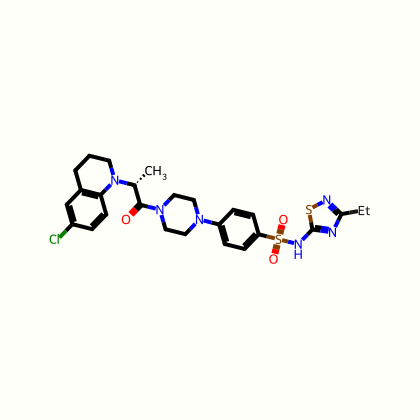 CCc1nsc(NS(=O)(=O)c2ccc(N3CCN(C(=O)[C@@H](C)N4CCCc5cc(Cl)ccc54)CC3)cc2)n1